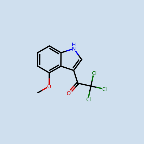 COc1cccc2[nH]cc(C(=O)C(Cl)(Cl)Cl)c12